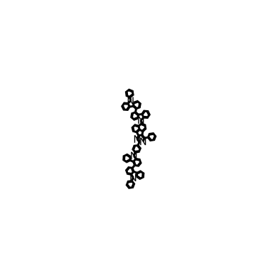 c1ccc(-c2nc(-c3ccc(-n4c5ccccc5c5c(-c6cccc7c6c6ccccc6n7-c6ccccc6)cccc54)cc3)nc3c2-c2ccc(-n4c5ccccc5c5c(-c6cccc7c6c6ccccc6n7-c6ccccc6)cccc54)c4cccc-3c24)cc1